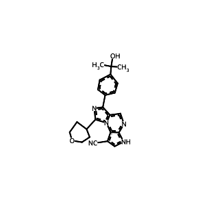 CC(C)(O)c1ccc(-c2nc(C3CCOCC3)n3c2cnc2[nH]cc(C#N)c23)cc1